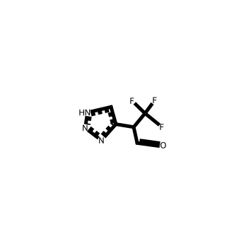 O=CC(c1c[nH]nn1)C(F)(F)F